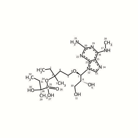 CCC(C)(CCO[C@H]([C@H](O)CO)n1cnc2c(NC)nc(N)nc21)OP(=O)(O)[C@@](C)(O)CC